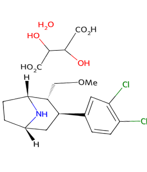 COC[C@@H]1[C@@H](c2ccc(Cl)c(Cl)c2)C[C@@H]2CC[C@H]1N2.O.O=C(O)C(O)C(O)C(=O)O